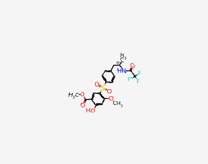 COC(=O)c1cc(S(=O)(=O)c2ccc(C[C@@H](C)NC(=O)C(F)(F)F)cc2)c(OC)cc1O